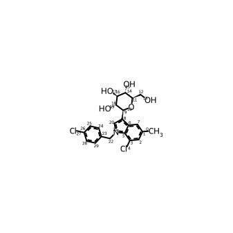 Cc1cc(Cl)c2c(c1)c([C@@H]1O[C@H](CO)[C@@H](O)[C@H](O)[C@H]1O)cn2Cc1ccc(Cl)cc1